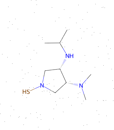 CC(C)N[C@H]1CN(S)C[C@H]1N(C)C